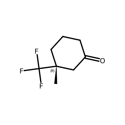 C[C@@]1(C(F)(F)F)CCCC(=O)C1